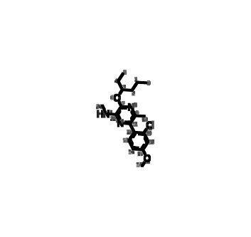 CCCC(CC)Oc1nc(C)c(-c2ccc(OC)cc2Cl)nc1NC